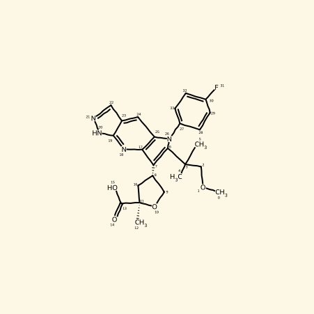 COCC(C)(C)c1c([C@@H]2CO[C@@](C)(C(=O)O)C2)c2nc3[nH]ncc3cc2n1-c1ccc(F)cc1